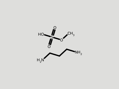 COS(=O)(=O)O.NCCCN